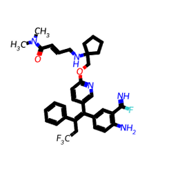 CN(C)C(=O)/C=C/CNC1(COc2ccc(/C(=C(/CC(F)(F)F)c3ccccc3)c3ccc(N)c(C(=N)F)c3)cn2)CCCC1